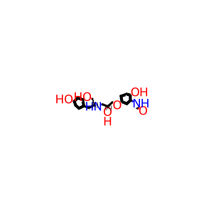 O=CNc1cc(OC[C@H](O)CN[C@H](CO)Cc2ccc(O)cc2)ccc1O